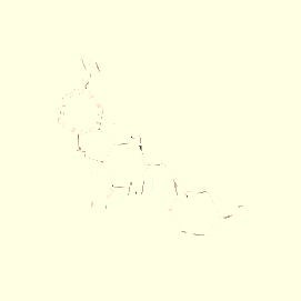 O=C1NC(CN2CCCC(F)C2)=NC2c3cc(Br)ccc3OC12